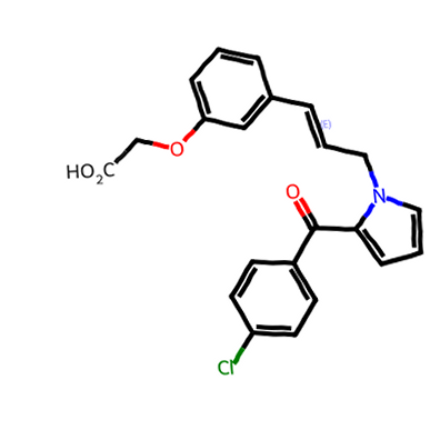 O=C(O)COc1cccc(/C=C/Cn2cccc2C(=O)c2ccc(Cl)cc2)c1